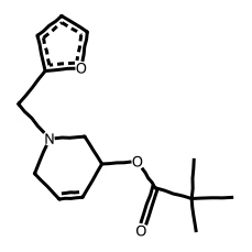 CC(C)(C)C(=O)OC1C=CCN(Cc2ccco2)C1